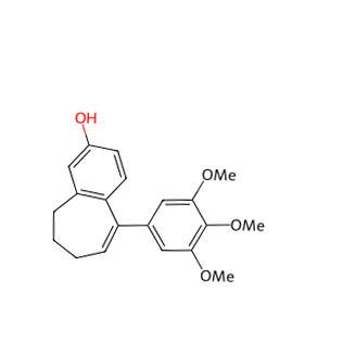 COc1cc(C2=CCCCc3cc(O)ccc32)cc(OC)c1OC